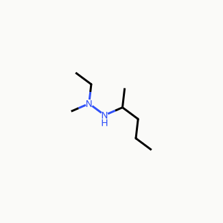 CCCC(C)NN(C)CC